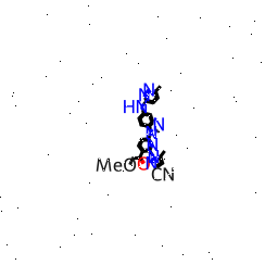 COCC(=O)c1ccc(-n2cnc3cc(Nc4ccc(C)nn4)ccc32)nc1-n1nc(C#N)cc1C